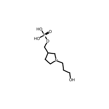 O=P(O)(O)OCC1CCN(CCCO)C1